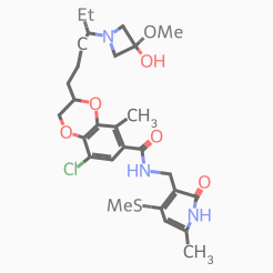 CCC(CCCC1COc2c(Cl)cc(C(=O)NCc3c(SC)cc(C)[nH]c3=O)c(C)c2O1)N1CC(O)(OC)C1